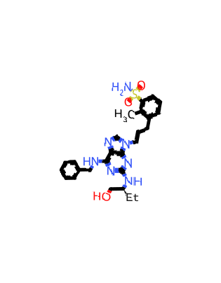 CC[C@H](CO)Nc1nc(NCc2ccccc2)c2ncn(CCCc3cccc(S(N)(=O)=O)c3C)c2n1